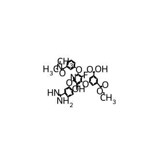 CCOC(=O)c1cc(Oc2c(F)c(Oc3cccc(C(=O)N(C)C)c3)nc(Oc3cc(C(=N)N)ccc3O)c2F)cc(C(=O)O)c1